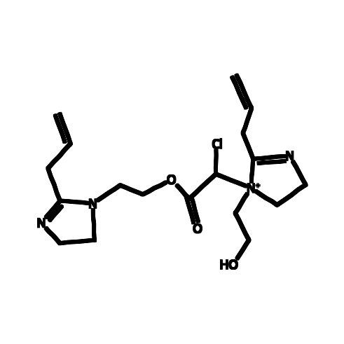 C=CCC1=NCCN1CCOC(=O)C(Cl)[N+]1(CCO)CCN=C1CC=C